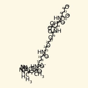 CC(C)(CC(C)(C)c1nnn[nH]1)C(=O)N[S+]([O-])CCCC(=O)NCCOCCOCC(=O)NC(CCC(=O)NC(C=O)CCC=O)C(=O)O